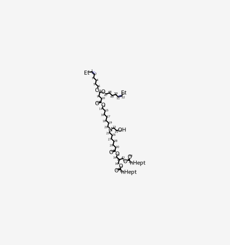 CC/C=C\CCCCOC(CCC(=O)OCCCCCCCN(CCO)CCCCCCC(=O)OCC(COC(=O)CCCCCCC)COC(=O)CCCCCCC)OCCCC/C=C\CC